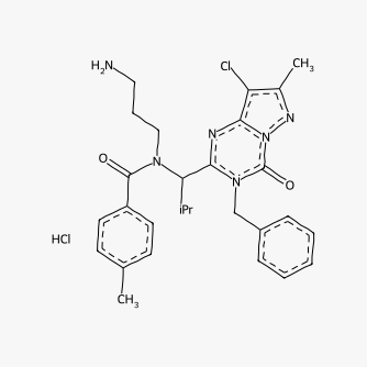 Cc1ccc(C(=O)N(CCCN)C(c2nc3c(Cl)c(C)nn3c(=O)n2Cc2ccccc2)C(C)C)cc1.Cl